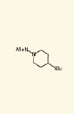 CCC(C)C1CCN(NC)CC1